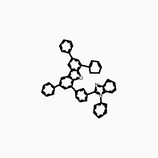 C1=CCCC(c2cc(-c3ccccc3)cc3c2oc2c(-c4cccc(-c5nc6ccccc6n5-c5ccccc5)c4)cc(-c4ccccc4)cc23)=C1